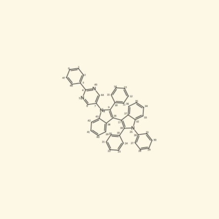 c1ccc(-c2ncc(-n3c(-c4ccccc4)c(-c4c(-c5ccccc5)n(-c5ccccc5)c5ccccc45)c4ccccc43)cn2)cc1